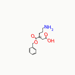 NCCC[C@@H](CC(=O)O)C(=O)OCc1ccccc1